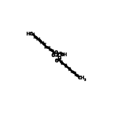 C#CC#CC#CC#CC#CC#CC(=O)O[C@@H](CO)COC(=O)C#CC#CC#CC#CC#CC